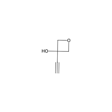 C#CC1(O)COC1